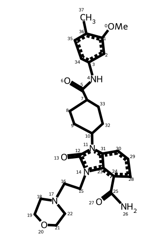 COc1cc(NC(=O)C2CCC(n3c(=O)n(CCN4CCOCC4)c4c(C(N)=O)cccc43)CC2)ccc1C